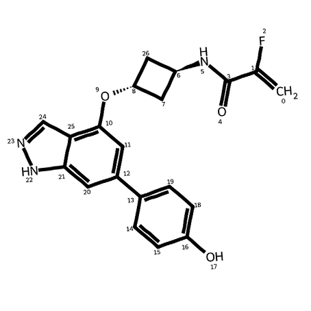 C=C(F)C(=O)N[C@H]1C[C@H](Oc2cc(-c3ccc(O)cc3)cc3[nH]ncc23)C1